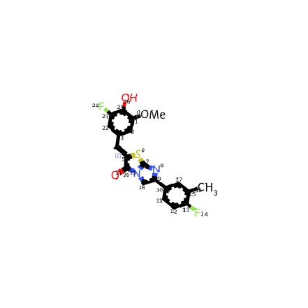 COc1cc(/C=c2\sc3nc(-c4ccc(F)c(C)c4)cn3c2=O)cc(F)c1O